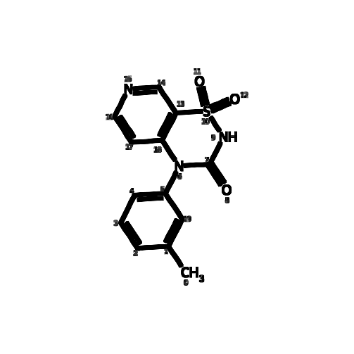 Cc1cccc(N2C(=O)NS(=O)(=O)c3cnccc32)c1